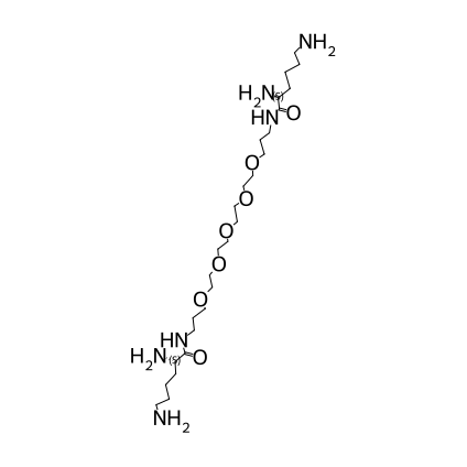 NCCCC[C@H](N)C(=O)NCCCOCCOCCOCCOCCOCCCNC(=O)[C@@H](N)CCCCN